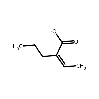 CC=C(CCC)C([O])=O